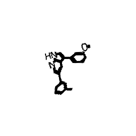 COc1cccc(-c2c[nH]c3ncc(-c4cccc(C)c4)cc23)c1